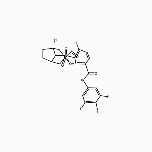 C=C[C@]1(O)CC2CC[C@@H](C1)C2S(=O)(=O)c1cc(C(=O)Nc2cc(F)c(F)c(F)c2)ccc1Cl